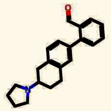 O=Cc1ccccc1-c1ccc2c(c1)CCC(N1CCCC1)C2